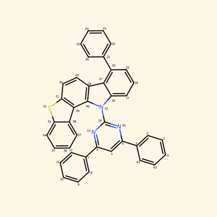 c1ccc(-c2cc(-c3ccccc3)nc(-n3c4cccc(-c5ccccc5)c4c4ccc5sc6ccccc6c5c43)n2)cc1